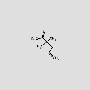 C=CCC(C)(C)C(=O)OCC(C)C